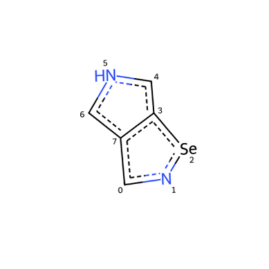 c1n[se]c2c[nH]cc12